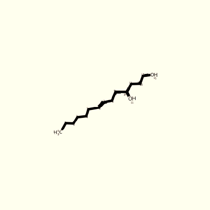 CCCCCCC=CCCC(O)CCCO